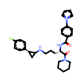 O=C(N[C@@H](CCCNC1C[C@H]1c1ccc(F)cc1)C(=O)N1CCCCC1)c1ccc(-n2cccc2)cc1